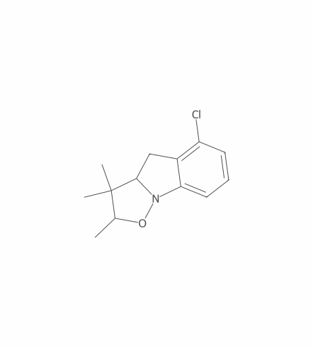 CC1ON2c3cccc(Cl)c3CC2C1(C)C